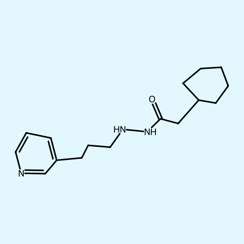 O=C(CC1CCCCC1)NNCCCc1cccnc1